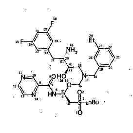 CCCCS(=O)(=O)C[C@@H](NC(=O)c1cnccn1)OCN(Cc1cccc(CC)c1)C[C@@H](O)[C@@H](N)Cc1cc(F)cc(F)c1